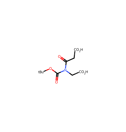 CC(C)(C)OC(=O)N(CC(=O)O)C(=O)CC(=O)O